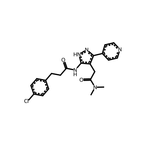 CN(C)C(=O)Cc1c(-c2ccncc2)n[nH]c1NC(=O)CCc1ccc(Cl)cc1